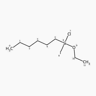 CCCCCC[Si](Cl)(I)OCC